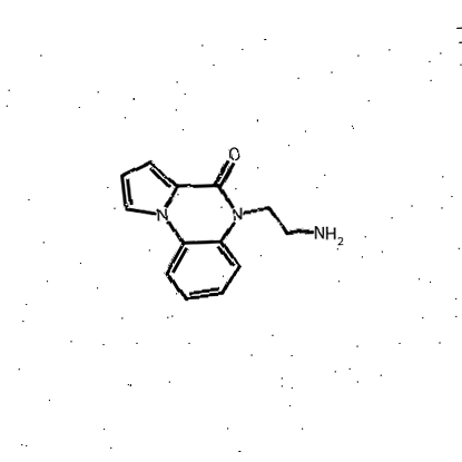 NCCn1c(=O)c2cccn2c2ccccc21